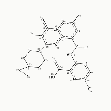 Cc1cc([C@H](C)Nc2ccc(Cl)nc2C(=O)O)c2nc(N3CCC4(CC3)CC4)c(C)c(=O)n2c1